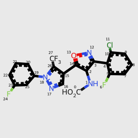 O=C(O)Nc1c(-c2c(F)cccc2Cl)noc1-c1cnn(-c2cccc(F)c2)c1C(F)(F)F